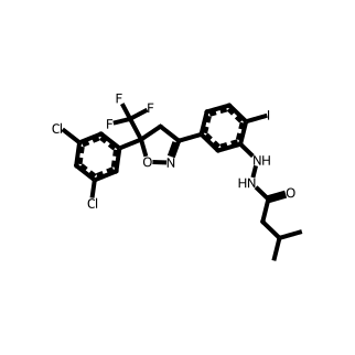 CC(C)CC(=O)NNc1cc(C2=NOC(c3cc(Cl)cc(Cl)c3)(C(F)(F)F)C2)ccc1I